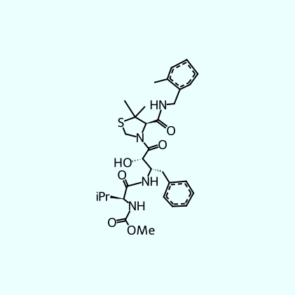 COC(=O)N[C@H](C(=O)N[C@@H](Cc1ccccc1)[C@H](O)C(=O)N1CSC(C)(C)[C@H]1C(=O)NCc1ccccc1C)C(C)C